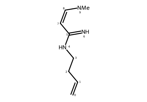 C=CCCNC(=N)/C=C\NC